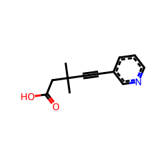 CC(C)(C#Cc1cccnc1)CC(=O)O